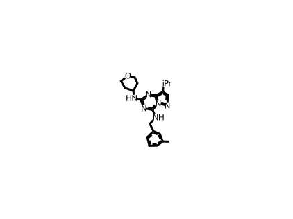 Cc1cccc(CNc2nc(NC3CCOCC3)nc3c(C(C)C)cnn23)c1